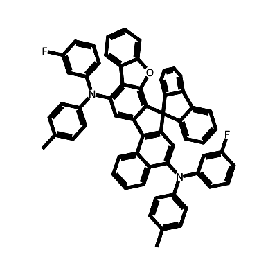 Cc1ccc(N(c2cccc(F)c2)c2cc3c(c4ccccc24)-c2cc(N(c4ccc(C)cc4)c4cccc(F)c4)c4c(oc5ccccc54)c2C32c3ccccc3-c3ccccc32)cc1